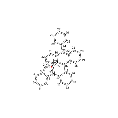 CCc1cc2ccccc2n1-c1ccccc1-c1c2ccccc2c(-c2ccccc2)c2ccccc12